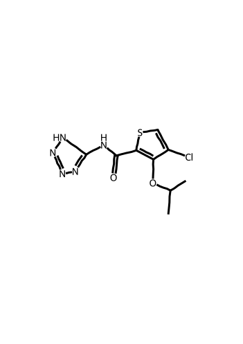 CC(C)Oc1c(Cl)csc1C(=O)Nc1nnn[nH]1